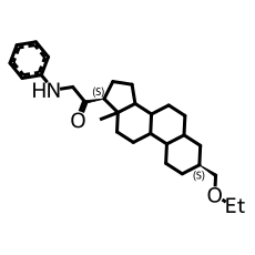 CCOC[C@H]1CCC2C(CCC3C2CCC2(C)C3CC[C@@H]2C(=O)CNc2ccccc2)C1